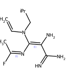 C=CN(CC(C)C)C(/N=C(\C)F)=C(\N)C(=N)N